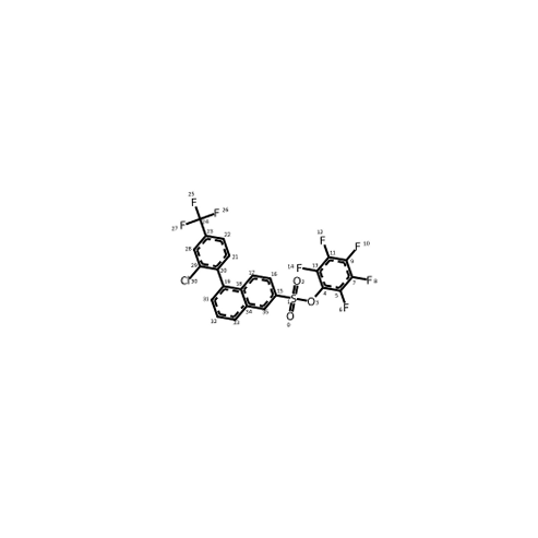 O=S(=O)(Oc1c(F)c(F)c(F)c(F)c1F)c1ccc2c(-c3ccc(C(F)(F)F)cc3Cl)cccc2c1